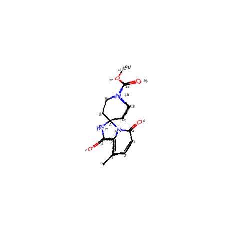 Cc1ccc(=O)n2c1C(=O)NC21CCN(C(=O)OC(C)(C)C)CC1